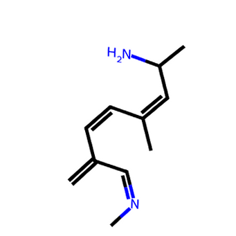 C=C(/C=C\C(C)=C/C(C)N)/C=N\C